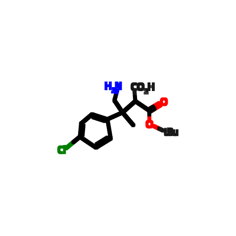 CC(C)(C)OC(=O)C(C(=O)O)C(C)(CN)c1ccc(Cl)cc1